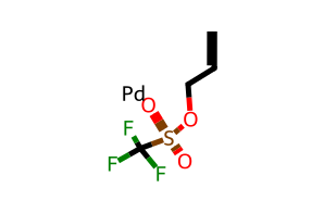 C=CCOS(=O)(=O)C(F)(F)F.[Pd]